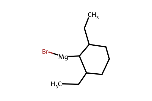 CCC1CCCC(CC)[CH]1[Mg][Br]